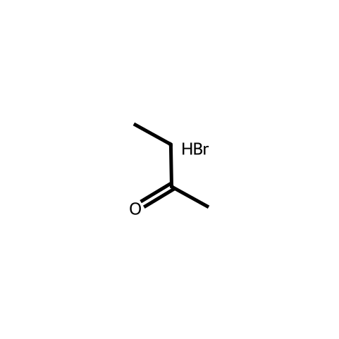 Br.CCC(C)=O